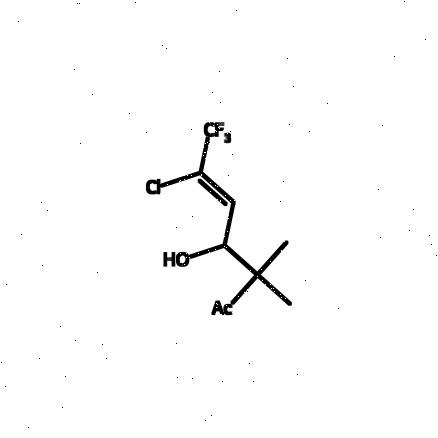 CC(=O)C(C)(C)C(O)C=C(Cl)C(F)(F)F